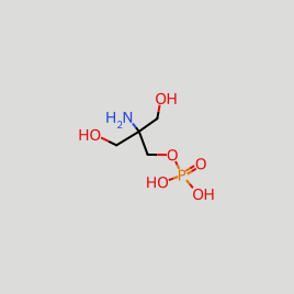 NC(CO)(CO)COP(=O)(O)O